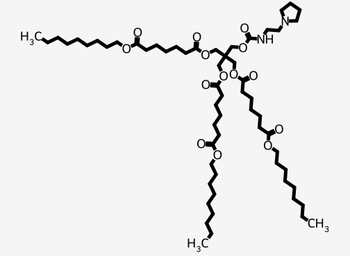 CCCCCCCCCOC(=O)CCCCCC(=O)OCC(COC(=O)CCCCCC(=O)OCCCCCCCCC)(COC(=O)CCCCCC(=O)OCCCCCCCCC)COC(=O)NCCN1CCCC1